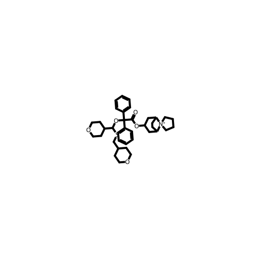 O=C(OC1CC2CCC(C1)[N+]21CCCC1)C(OC(SCC1CCOCC1)C1CCOCC1)(c1ccccc1)c1ccccc1